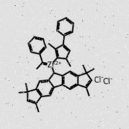 CC1=CC(C)(C)c2cc3c(cc21)-c1cc2c(cc1[CH]3/[Zr+2]([C]1=C(C)C(c3ccccc3)=CC1C)=[C](\C)c1ccccc1)C(C)(C)C=C2C.[Cl-].[Cl-]